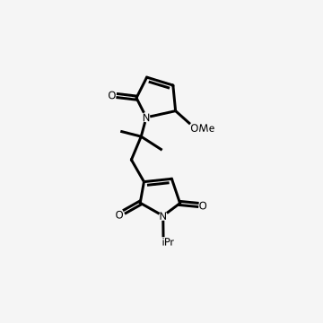 COC1C=CC(=O)N1C(C)(C)CC1=CC(=O)N(C(C)C)C1=O